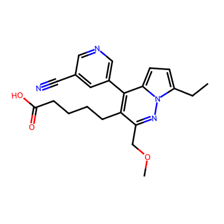 CCc1ccc2c(-c3cncc(C#N)c3)c(CCCCC(=O)O)c(COC)nn12